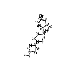 CCc1cnc(N2CCC(n3ccc4cc(Br)cnc43)CC2)nc1